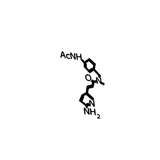 CC(=O)Nc1ccc(CN(C)C(=O)/C=C/c2ccc(N)nc2)cc1